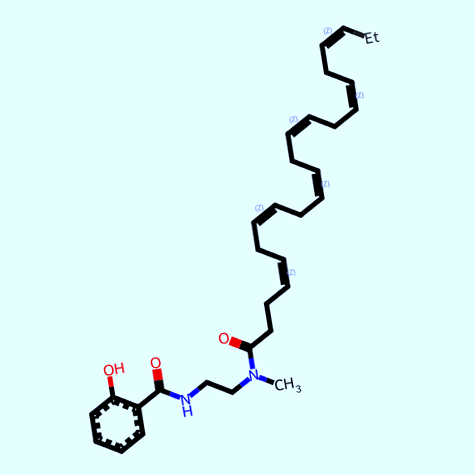 CC/C=C\C/C=C\C/C=C\C/C=C\C/C=C\C/C=C\CCC(=O)N(C)CCNC(=O)c1ccccc1O